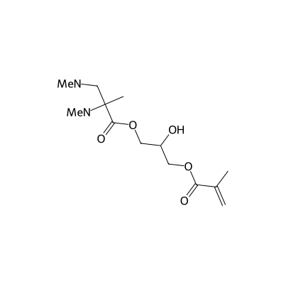 C=C(C)C(=O)OCC(O)COC(=O)C(C)(CNC)NC